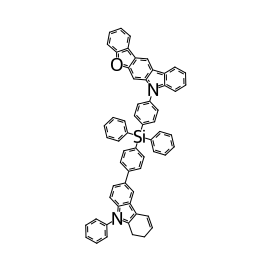 C1=Cc2c(n(-c3ccccc3)c3ccc(-c4ccc([Si](c5ccccc5)(c5ccccc5)c5ccc(-n6c7ccccc7c7cc8c(cc76)oc6ccccc68)cc5)cc4)cc23)CC1